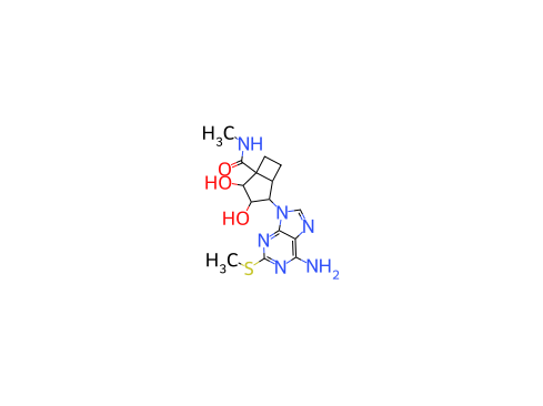 CNC(=O)C12CCC1C(n1cnc3c(N)nc(SC)nc31)C(O)C2O